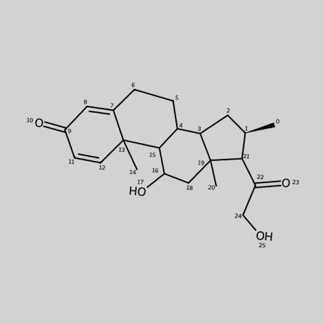 C[C@@H]1CC2C3CCC4=CC(=O)C=CC4(C)C3C(O)CC2(C)C1C(=O)CO